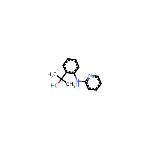 CC(C)(O)c1ccccc1Nc1ccccn1